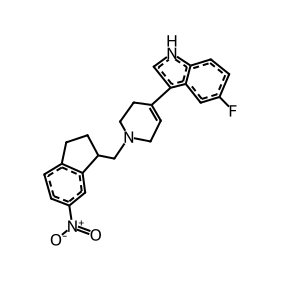 O=[N+]([O-])c1ccc2c(c1)C(CN1CC=C(c3c[nH]c4ccc(F)cc34)CC1)CC2